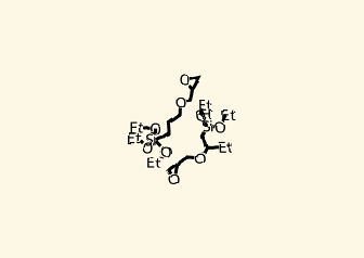 CCO[SiH](CC(CC)OCC1CO1)OCC.CCO[Si](CCCOCC1CO1)(OCC)OCC